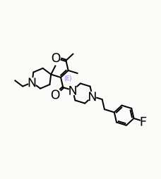 CCN1CCC(C)(/C(C(=O)N2CCN(CCc3ccc(F)cc3)CC2)=C(/C)C(C)=O)CC1